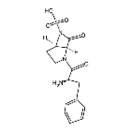 N[C@H](Cc1ccccc1)C(=O)N1CC[C@@H]2[C@H]1C(=O)N2S(=O)(=O)O